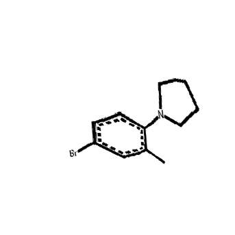 Cc1cc(Br)ccc1N1CCCC1